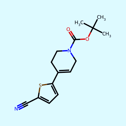 CC(C)(C)OC(=O)N1CC=C(c2ccc(C#N)s2)CC1